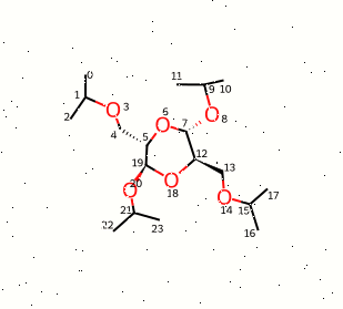 CC(C)OC[C@@H]1O[C@H](OC(C)C)[C@@H](COC(C)C)O[C@H]1OC(C)C